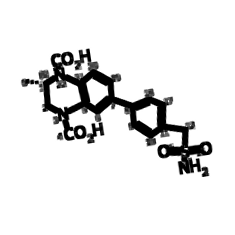 C[C@H]1CN(C(=O)O)c2cc(-c3ccc(CS(N)(=O)=O)cc3)ccc2N1C(=O)O